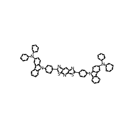 c1ccc(N(c2ccccc2)c2ccc3c(c2)c2ccccc2n3-c2ccc(-c3nc4cc5nc(-c6ccc(-n7c8ccccc8c8cc(N(c9ccccc9)c9ccccc9)ccc87)cc6)sc5nc4s3)cc2)cc1